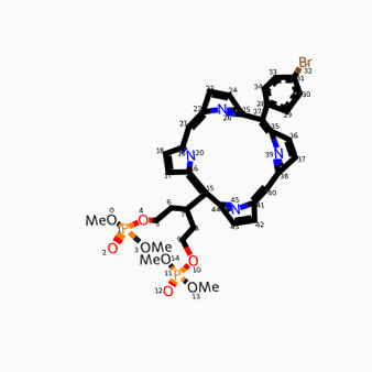 COP(=O)(OC)OCCC(CCOP(=O)(OC)OC)C1=C2C=CC(=N2)C=C2C=CC(=N2)C(c2ccc(Br)cc2)=C2C=CC(=N2)C=C2C=CC1=N2